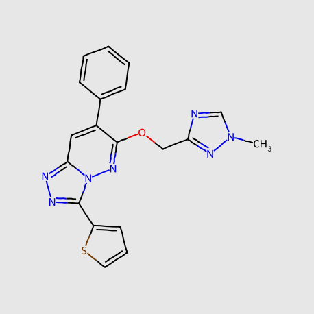 Cn1cnc(COc2nn3c(-c4cccs4)nnc3cc2-c2ccccc2)n1